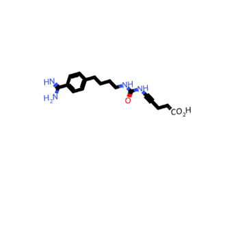 N=C(N)c1ccc(CCCCNC(=O)NC#CCCC(=O)O)cc1